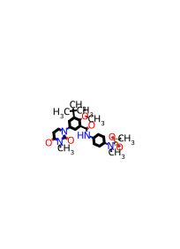 COc1c(C(=O)Nc2ccc(N(C)S(C)(=O)=O)cc2)cc(-n2ccc(=O)n(C)c2=O)cc1C(C)(C)C